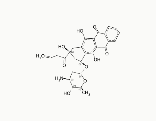 C=CCC(=O)[C@]1(O)Cc2c(O)c3c(c(O)c2[C@@H](O[C@H]2C[C@H](N)[C@@H](O)[C@H](C)O2)C1)C(=O)c1ccccc1C3=O